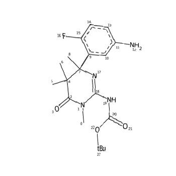 CN1C(=O)C(C)(C)C(C)(c2cc(N)ccc2F)N=C1NC(=O)OC(C)(C)C